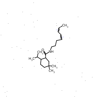 C/C=C\C=C/CCCNC(=O)C1CC(C)(C)CCC1C(C)C